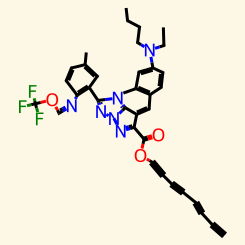 C#CC#CC#CC#COC(=O)c1nn2nc(-c3cc(C)ccc3/N=C\OC(F)(F)F)nc2/c1=C\c1ccc(N(CC)CCCC)cc1C